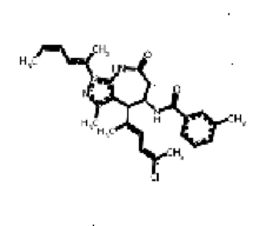 C/C=C\C=C(/C)n1nc(C)c2c1NC(=O)C[C@@H](NC(=O)c1cccc(C)c1)[C@H]2/C(C)=C/C=C(\C)Cl